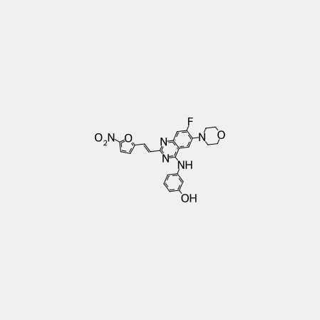 O=[N+]([O-])c1ccc(C=Cc2nc(Nc3cccc(O)c3)c3cc(N4CCOCC4)c(F)cc3n2)o1